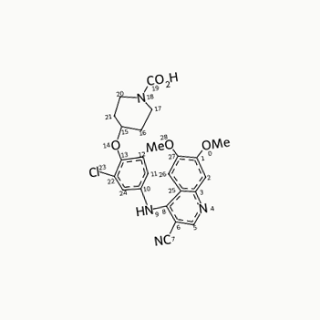 COc1cc2ncc(C#N)c(Nc3ccc(OC4CCN(C(=O)O)CC4)c(Cl)c3)c2cc1OC